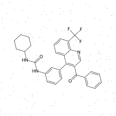 O=C(Nc1cccc(-c2c(C(=O)c3ccccc3)cnc3c(C(F)(F)F)cccc23)c1)NC1CCCCC1